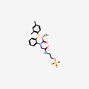 Cc1ccc(Sc2ccccc2N(CC(=O)NCCOS(C)(=O)=O)C(=O)OC(C)(C)C)c(C)c1